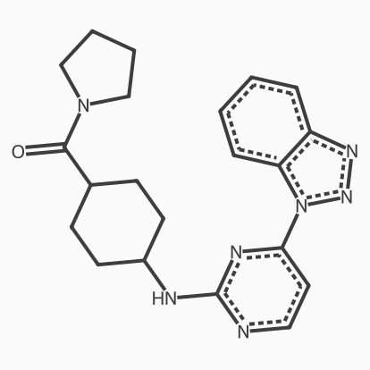 O=C(C1CCC(Nc2nccc(-n3nnc4ccccc43)n2)CC1)N1CCCC1